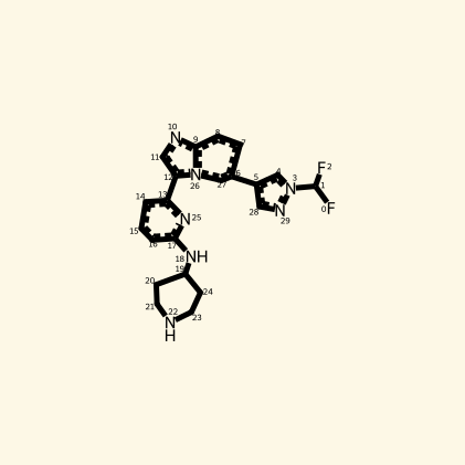 FC(F)n1cc(-c2ccc3ncc(-c4cccc(NC5CCNCC5)n4)n3c2)cn1